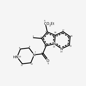 CCOC(=O)c1c(C)c(C(=O)N2CCNCC2)n2ncccc12